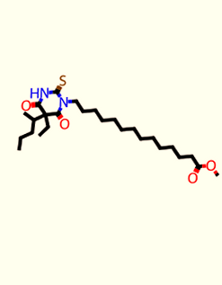 CCCC(C)C1(CC)C(=O)NC(=S)N(CCCCCCCCCCCCCC(=O)OC)C1=O